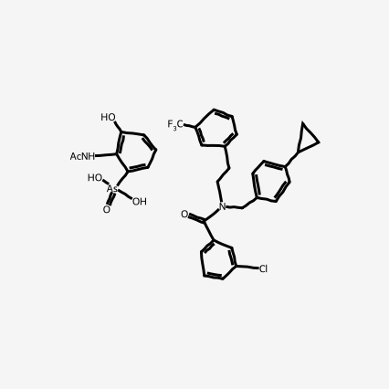 CC(=O)Nc1c(O)cccc1[As](=O)(O)O.O=C(c1cccc(Cl)c1)N(CCc1cccc(C(F)(F)F)c1)Cc1ccc(C2CC2)cc1